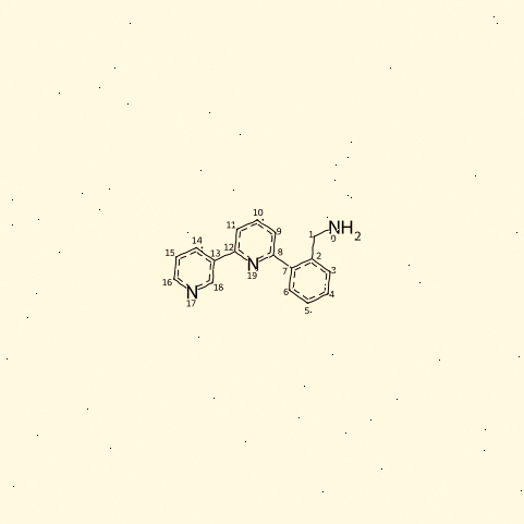 NCc1ccccc1-c1c[c]cc(-c2[c]ccnc2)n1